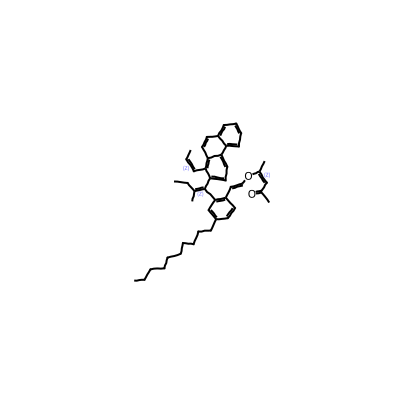 C/C=C\c1c(/C(=C(/C)CC)c2cc(CCCCCCCCCC)ccc2C=CO/C(C)=C\C(C)=O)ccc2c1ccc1ccccc12